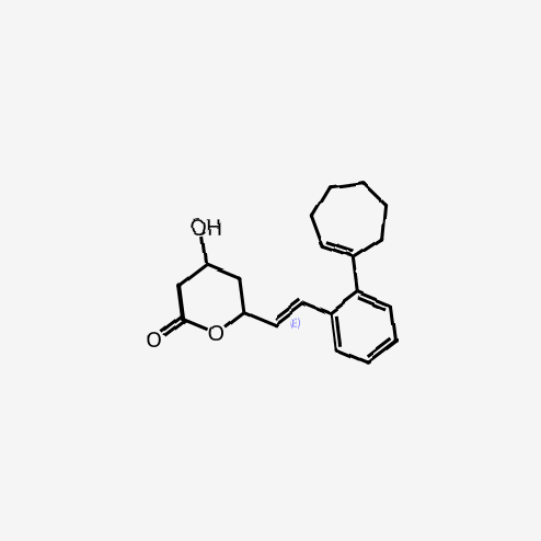 O=C1CC(O)CC(/C=C/c2ccccc2C2=CCCCCC2)O1